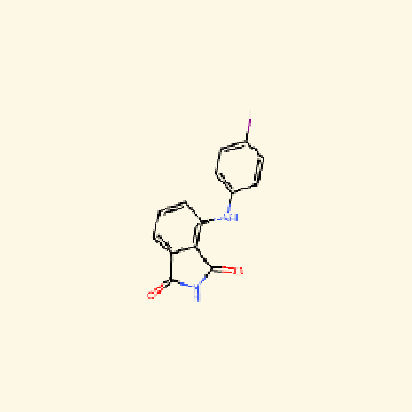 O=C1NC(=O)c2c(Nc3ccc(I)cc3)cccc21